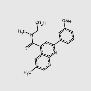 COc1cccc(-c2cc(C(=S)N(C)CC(=O)O)c3cc(C)ccc3n2)c1